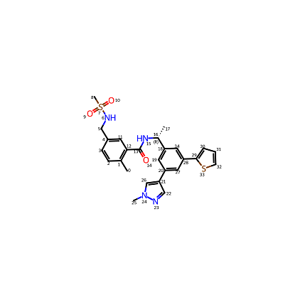 Cc1ccc(CNS(C)(=O)=O)cc1C(=O)N[C@H](C)c1cc(-c2cnn(C)c2)cc(-c2cccs2)c1